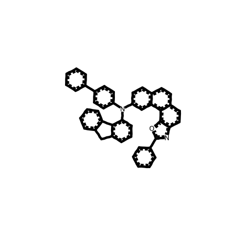 c1ccc(-c2ccc(N(c3ccc4ccc5ccc6nc(-c7ccccc7)oc6c5c4c3)c3cccc4c3-c3ccccc3C4)cc2)cc1